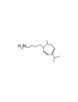 CC(C)C1=CCC(C)C(CCCCN)C=C1